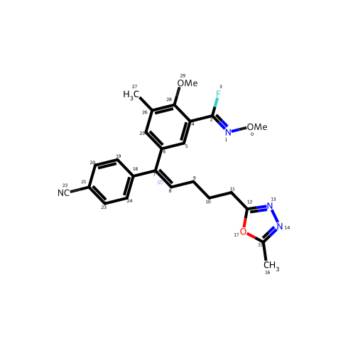 CON=C(F)c1cc(/C(=C\CCCc2nnc(C)o2)c2ccc(C#N)cc2)cc(C)c1OC